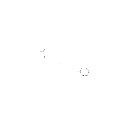 C=C(C)C(=O)OCCCNCCCc1ccccc1